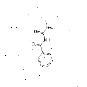 CN(C)C(=O)NC(=O)c1ccccc1